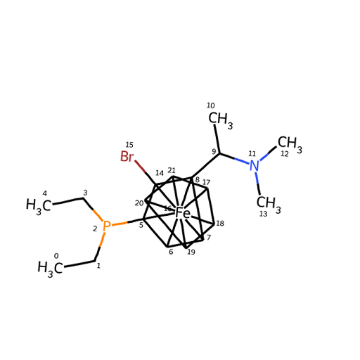 CCP(CC)[C]12[CH]3[CH]4[C]5(C(C)N(C)C)[C]1(Br)[Fe]43521678[CH]2[CH]1[CH]6[CH]7[CH]28